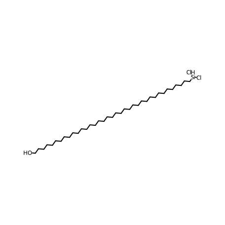 OCCCCCCCCCCCCCCCCCCCCCCCCCCCCCCCCCCCCC[SiH](Cl)Cl